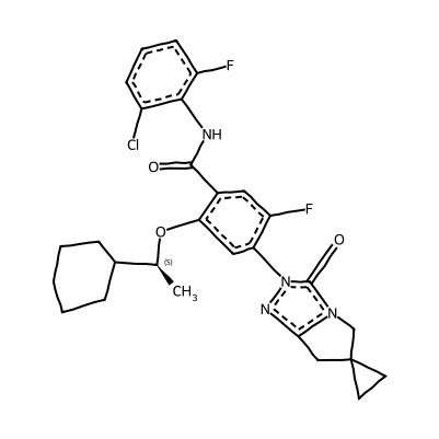 C[C@H](Oc1cc(-n2nc3n(c2=O)CC2(CC2)C3)c(F)cc1C(=O)Nc1c(F)cccc1Cl)C1CCCCC1